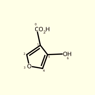 O=C(O)c1cocc1O